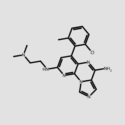 Cc1cccc(Cl)c1-c1cc(NCCN(C)C)nc2c1nc(N)c1cncn12